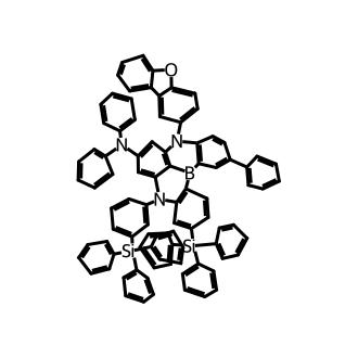 c1ccc(-c2ccc3c(c2)B2c4ccc([Si](c5ccccc5)(c5ccccc5)c5ccccc5)cc4N(c4cccc([Si](c5ccccc5)(c5ccccc5)c5ccccc5)c4)c4cc(N(c5ccccc5)c5ccccc5)cc(c42)N3c2ccc3oc4ccccc4c3c2)cc1